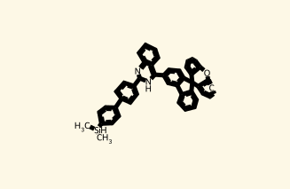 C[SiH](C)c1ccc(-c2ccc(C3N=c4ccccc4=C(c4ccc5c(c4)-c4ccccc4C54c5ccccc5Oc5ccccc54)N3)cc2)cc1